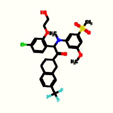 COc1cc(N(C)C(C(=O)C2CCc3ccc(C(F)(F)F)cc3C2)c2ccc(Cl)cc2OCCO)cc(S(C)(=O)=O)c1